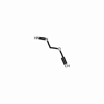 C#COCN=N